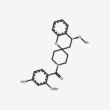 COc1cc(O)ccc1C(=O)N1CCC2(CC1)C[C@H](OC(C)C)c1ccccc1O2